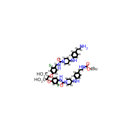 CC(C)(C)OC(=O)NCCc1ccc(NC2CCN(C(=O)Nc3ccc(OC(C(=O)O)C(Oc4ccc(CNC(=O)N5CCC(Nc6ccc(CCN)cc6)CC5)c(F)c4)C(=O)O)cc3F)CC2)cc1